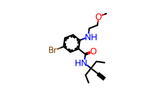 C#CC(CC)(CC)NC(=O)c1cc(Br)ccc1NCCOC